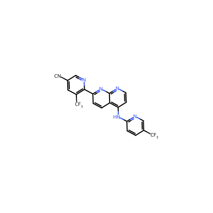 [C-]#[N+]c1cnc(-c2ccc3c(Nc4ccc(C(F)(F)F)cn4)ccnc3n2)c(C(F)(F)F)c1